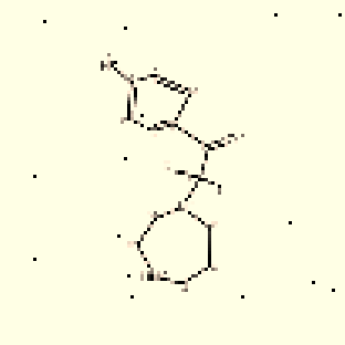 CC(C)(C(=O)c1ccc(S)cc1)N1CCCNCC1